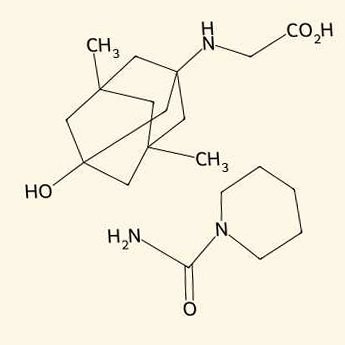 CC12CC3(C)CC(O)(C1)CC(NCC(=O)O)(C2)C3.NC(=O)N1CCCCC1